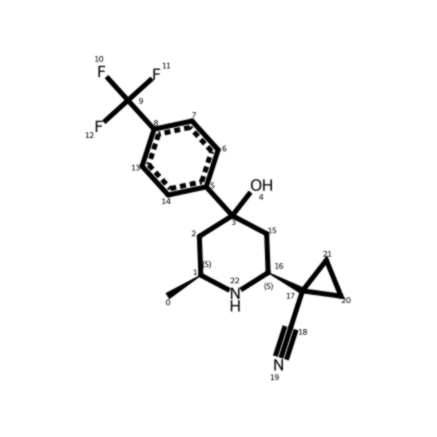 C[C@H]1CC(O)(c2ccc(C(F)(F)F)cc2)C[C@@H](C2(C#N)CC2)N1